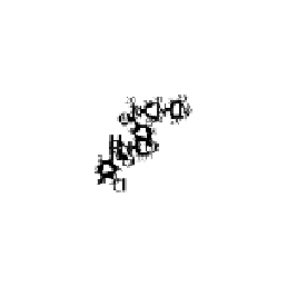 Cc1ccc(NC(=O)NC2CCOc3ccc(C(=O)N(C)C4CCN(c5ccncc5)CC4)cc32)cc1Cl